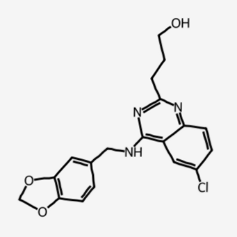 OCCCc1nc(NCc2ccc3c(c2)OCO3)c2cc(Cl)ccc2n1